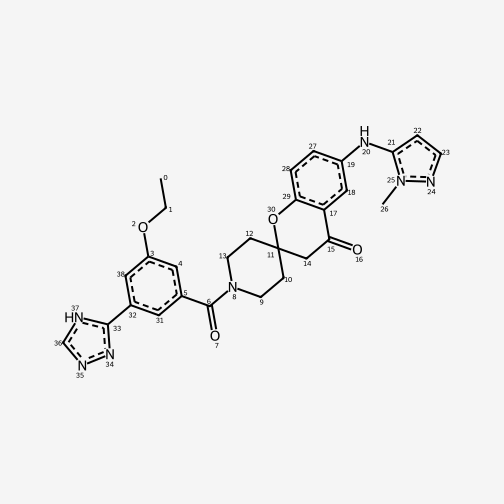 CCOc1cc(C(=O)N2CCC3(CC2)CC(=O)c2cc(Nc4ccnn4C)ccc2O3)cc(-c2nnc[nH]2)c1